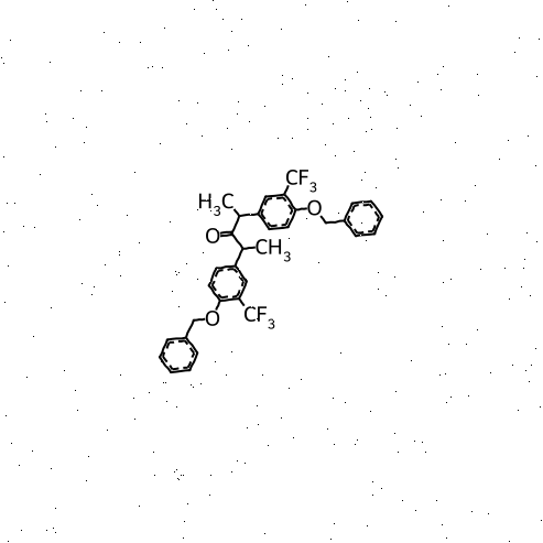 CC(C(=O)C(C)c1ccc(OCc2ccccc2)c(C(F)(F)F)c1)c1ccc(OCc2ccccc2)c(C(F)(F)F)c1